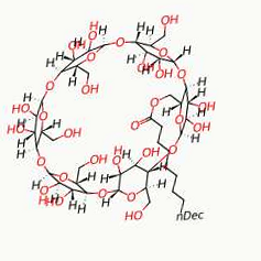 CCCCCCCCCCCCCCCCCC(=O)OC[C@H]1O[C@@H]2O[C@H]3[C@H](O)[C@@H](O)[C@@H](O[C@H]4[C@H](O)[C@@H](O)[C@@H](O[C@H]5[C@H](O)[C@@H](O)[C@@H](O[C@H]6[C@H](O)[C@@H](O)[C@@H](O[C@H]7[C@H](O)[C@@H](O)[C@@H](O[C@H]1[C@H](O)[C@H]2O)O[C@@H]7CO)O[C@@H]6CO)O[C@@H]5CO)O[C@@H]4CO)O[C@@H]3CO